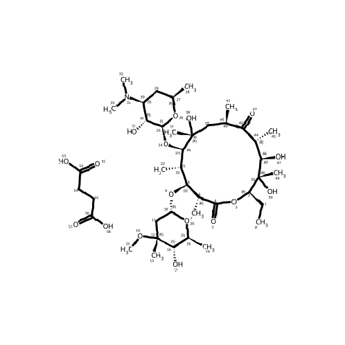 CC[C@H]1OC(=O)[C@H](C)[C@@H](O[C@H]2C[C@@](C)(OC)[C@@H](O)[C@H](C)O2)[C@H](C)[C@@H](O[C@@H]2O[C@H](C)C[C@H](N(C)C)[C@H]2O)[C@](C)(O)C[C@@H](C)C(=O)[C@H](C)[C@@H](O)[C@]1(C)O.O=C(O)CCC(=O)O